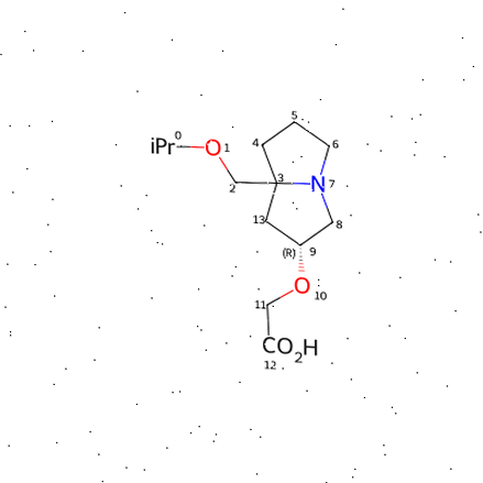 CC(C)OCC12CCCN1C[C@H](OCC(=O)O)C2